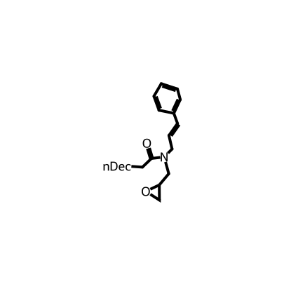 CCCCCCCCCCCC(=O)N(CC=Cc1ccccc1)CC1CO1